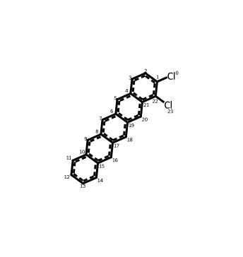 Clc1ccc2cc3cc4cc5ccccc5cc4cc3cc2c1Cl